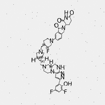 O=C1CCC(N2Cc3ccc(N4CC[C@H](CN5C[C@@H]6[C@H](C5)[C@H]6CN5CCN6c7cc(-c8cc(F)cc(F)c8O)nnc7NC[C@H]6C5)[C@@H](F)C4)cc3C2=O)C(=O)N1